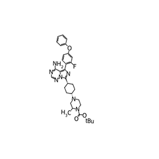 CC1CN([C@H]2CC[C@H](c3nc(-c4ccc(Oc5ccccc5)cc4F)c4c(N)ncnn43)CC2)CCN1C(=O)OC(C)(C)C